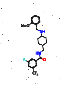 COc1ccccc1CNC1CCC(CNC(=O)c2cc(F)cc(C(F)(F)F)c2)CC1